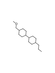 CCCC1CCC(C2CCC(COC)CC2)CC1